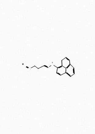 [O-][S+](/C=C/CCN=C=S)c1ccc2cccc3c2c1CC=C3